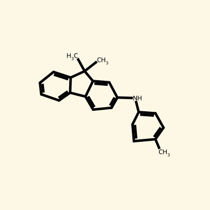 Cc1ccc(Nc2ccc3c(c2)C(C)(C)c2ccccc2-3)cc1